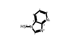 Sn1cnc2ncccc21